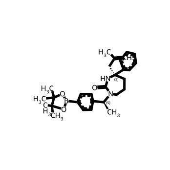 C=C(C)C[C@]1(c2ccccc2)CCCN([C@@H](C)c2ccc(B3OC(C)(C)C(C)(C)O3)cc2)C(=O)N1